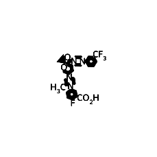 C[C@H]1CN([C@@H]2CC[C@@](C(=O)N3CCN(c4cccc(C(F)(F)F)c4)CC3)(C3CC3)OC2)CCN1c1ccc(F)c(C(=O)O)c1